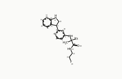 CC[C@@](C)(Nc1ccnc(C2CNc3ncccc32)n1)C(=O)NCCF